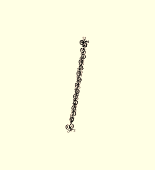 C=C(C)C(=O)OCCOCCOCCOCCOCCOCCOCCOCCOCCOCCOCCOCCOCCOCCOC(=O)C(=C)C